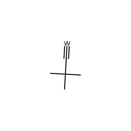 CC(C)(C)[C]#[W]